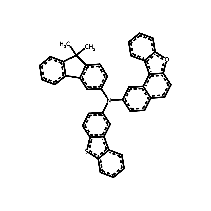 CC1(C)c2ccccc2-c2cc(N(c3ccc4sc5ccccc5c4c3)c3ccc4ccc5oc6ccccc6c5c4c3)ccc21